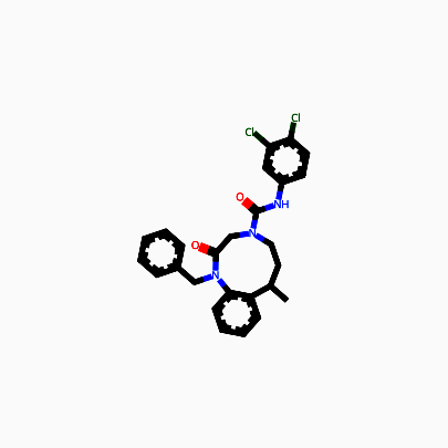 CC1CCN(C(=O)Nc2ccc(Cl)c(Cl)c2)CC(=O)N(Cc2ccccc2)c2ccccc21